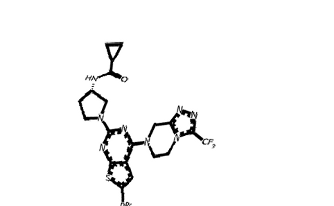 CCCc1cc2c(N3CCn4c(nnc4C(F)(F)F)C3)nc(N3CC[C@H](NC(=O)C4CC4)C3)nc2s1